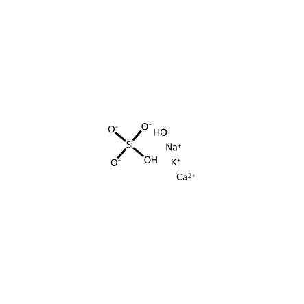 [Ca+2].[K+].[Na+].[O-][Si]([O-])([O-])O.[OH-]